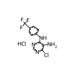 Cl.Nc1c(Cl)ncnc1Nc1ccc(C(F)(F)F)cc1